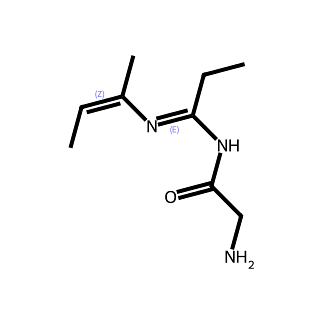 C/C=C(C)\N=C(/CC)NC(=O)CN